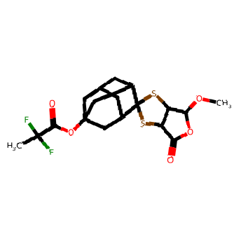 COC1OC(=O)C2SC3(SC12)C1CC2CC3CC(OC(=O)C(C)(F)F)(C2)C1